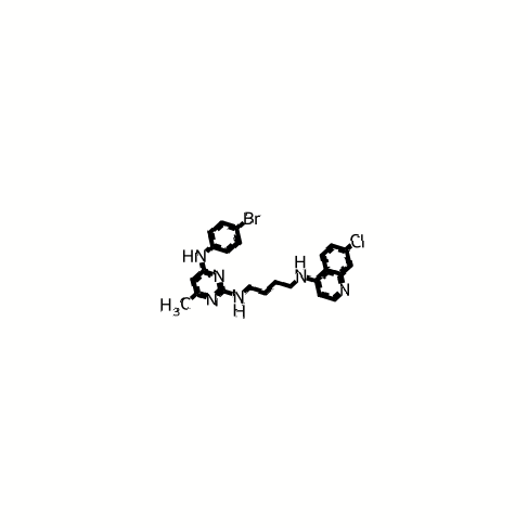 Cc1cc(Nc2ccc(Br)cc2)nc(NCCCCNc2ccnc3cc(Cl)ccc23)n1